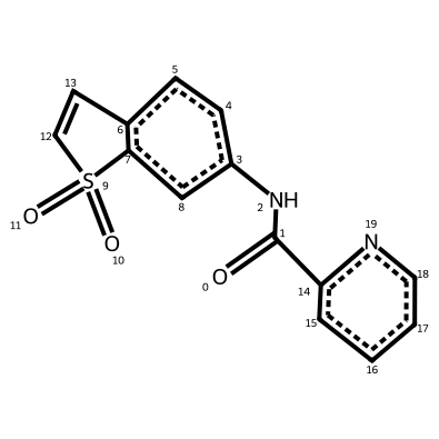 O=C(Nc1ccc2c(c1)S(=O)(=O)C=C2)c1ccccn1